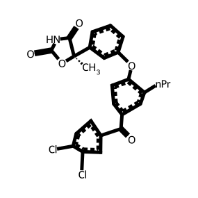 CCCc1cc(C(=O)c2ccc(Cl)c(Cl)c2)ccc1Oc1cccc([C@@]2(C)OC(=O)NC2=O)c1